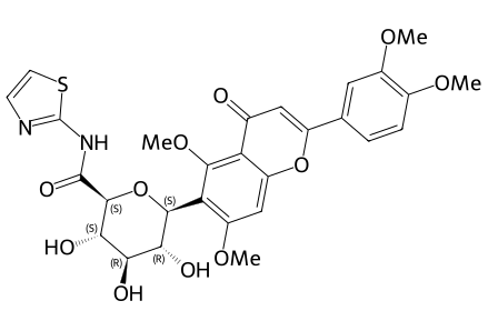 COc1ccc(-c2cc(=O)c3c(OC)c([C@@H]4O[C@H](C(=O)Nc5nccs5)[C@@H](O)[C@H](O)[C@H]4O)c(OC)cc3o2)cc1OC